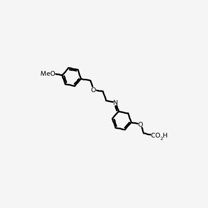 COc1ccc(COCCN=C2C=CC=C(OCC(=O)O)C2)cc1